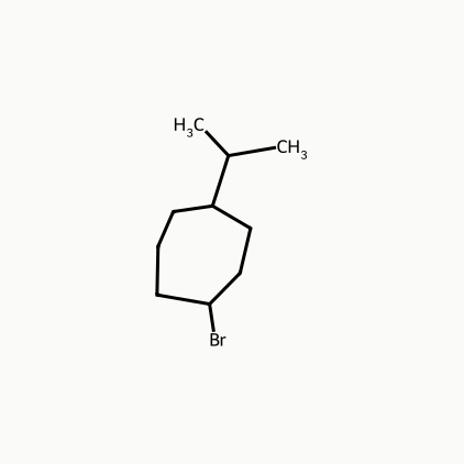 CC(C)C1CCCC(Br)CC1